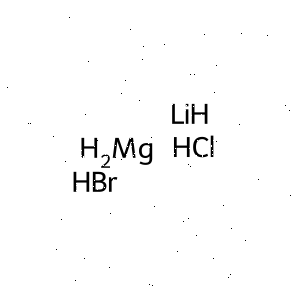 Br.Cl.[LiH].[MgH2]